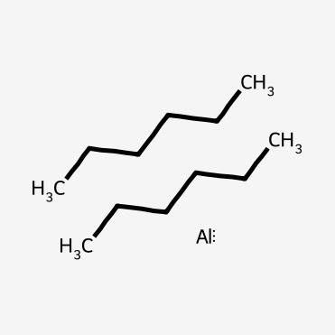 CCCCCC.CCCCCC.[Al]